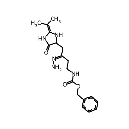 CC(C)=C1NC(=O)C(CC(CCNC(=O)OCc2ccccc2)=NN)N1